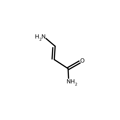 N/C=C/C(N)=O